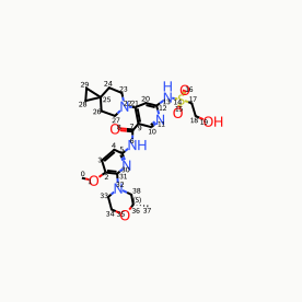 COc1ccc(NC(=O)c2cnc(NS(=O)(=O)CCO)cc2N2CCC3(CC2)CC3)nc1N1CCO[C@@H](C)C1